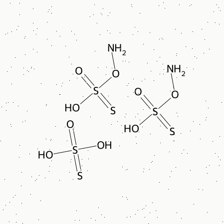 NOS(=O)(O)=S.NOS(=O)(O)=S.O=S(O)(O)=S